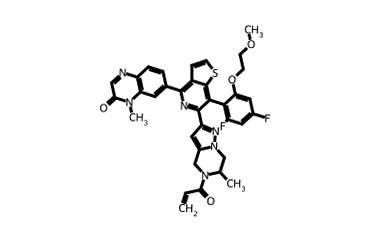 C=CC(=O)N1Cc2cc(-c3nc(-c4ccc5ncc(=O)n(C)c5c4)c4ccsc4c3-c3c(F)cc(F)cc3OCCOC)nn2CC1C